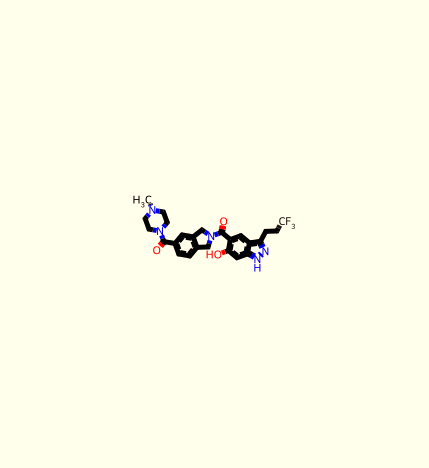 CN1CCN(C(=O)c2ccc3c(c2)CN(C(=O)c2cc4c(CCC(F)(F)F)n[nH]c4cc2O)C3)CC1